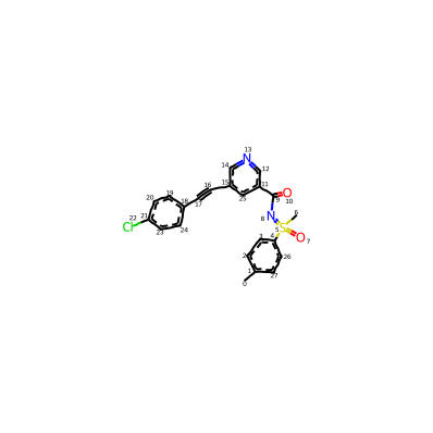 Cc1ccc(S(C)(=O)=NC(=O)c2cncc(C#Cc3ccc(Cl)cc3)c2)cc1